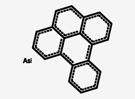 [As].c1ccc2c(c1)c1cccc3ccc4cccc2c4c31